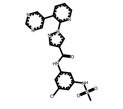 CS(=O)(=O)Nc1cc(Cl)cc(NC(=O)c2cnn(-c3ncccc3-c3cncnc3)c2)c1